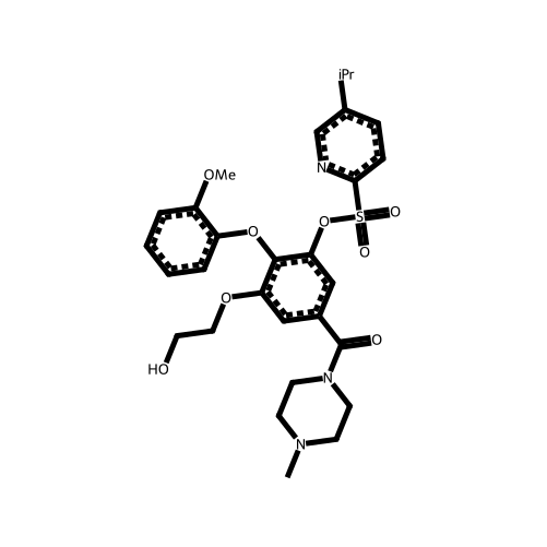 COc1ccccc1Oc1c(OCCO)cc(C(=O)N2CCN(C)CC2)cc1OS(=O)(=O)c1ccc(C(C)C)cn1